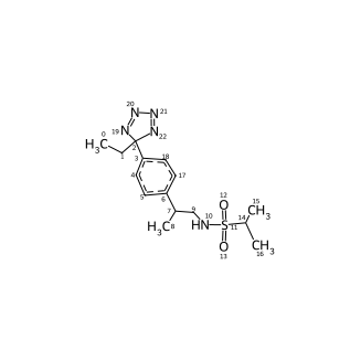 CCC1(c2ccc(C(C)CNS(=O)(=O)C(C)C)cc2)N=NN=N1